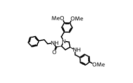 COc1ccc(CN[C@H]2C[C@@H](C(=O)NCCc3ccccc3)N(Cc3ccc(OC)c(OC)c3)C2)cc1